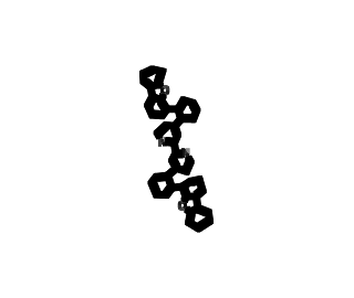 c1ccc(-c2cccc3c2oc2ccccc23)c(-c2ccnc(-c3cc(-c4ccccc4-c4cccc5c4oc4ccccc45)ccn3)c2)c1